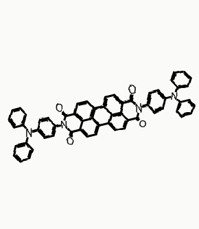 O=C1c2ccc3c4ccc5c6c(ccc(c7ccc(c2c37)C(=O)N1c1ccc(N(c2ccccc2)c2ccccc2)cc1)c64)C(=O)N(c1ccc(N(c2ccccc2)c2ccccc2)cc1)C5=O